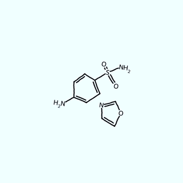 Nc1ccc(S(N)(=O)=O)cc1.c1cocn1